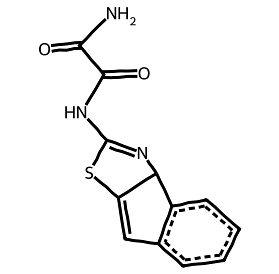 NC(=O)C(=O)NC1=NC2C(=Cc3ccccc32)S1